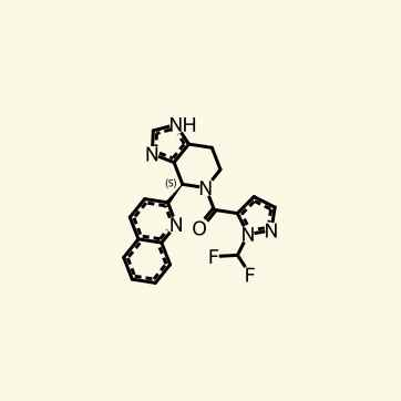 O=C(c1ccnn1C(F)F)N1CCc2[nH]cnc2[C@@H]1c1ccc2ccccc2n1